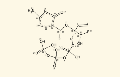 C=C[C@](COP(=O)(O)OP(=O)(O)OP(=O)(O)O)(O[C@H](C)n1ccc(N)nc1=O)[C@@H](O)F